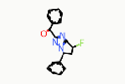 O=C(c1ccccc1)c1nc2n(n1)C(c1ccccc1)CC2F